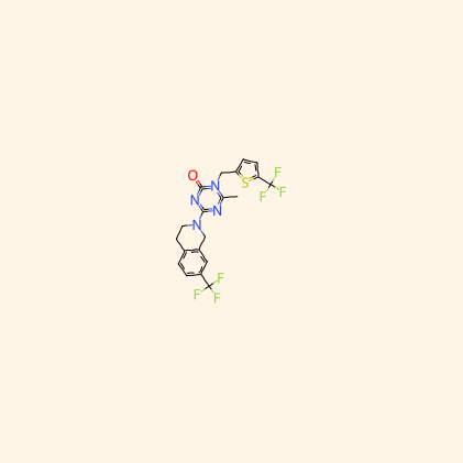 Cc1nc(N2CCc3ccc(C(F)(F)F)cc3C2)nc(=O)n1Cc1ccc(C(F)(F)F)s1